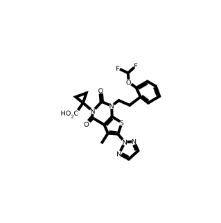 Cc1c(-n2nccn2)sc2c1c(=O)n(C1(C(=O)O)CC1)c(=O)n2CCc1ccccc1OC(F)F